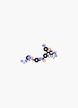 C=C1Oc2cc(N(C)C)ccc2C(c2ccc(C(=O)NCc3ccc(COc4nccc(N)n4)cc3)cc2C(=O)O)=C1/C=C\CN(C)C